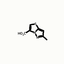 Cc1cc2scc(C(=O)O)n2n1